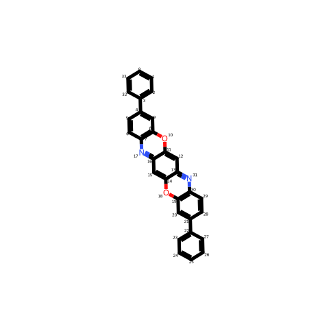 c1ccc(-c2ccc3c(c2)Oc2cc4c(cc2=N3)Oc2cc(-c3ccccc3)ccc2N=4)cc1